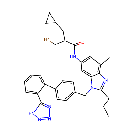 CCCc1nc2c(C)cc(NC(=O)C(CS)CC3CC3)cc2n1Cc1ccc(-c2ccccc2-c2nnn[nH]2)cc1